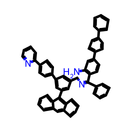 Nc1cc(-c2ccc(-c3ccccc3)cc2)ccc1/C(=N\Cc1cc(-c2ccc(-c3ccccn3)cc2)cc(-c2c3ccccc3cc3ccccc23)c1)c1ccccc1